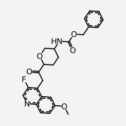 COc1ccc2ncc(F)c(CC(=O)C3CCC(NC(=O)OCc4ccccc4)CO3)c2c1